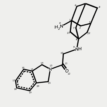 NC12CC3CC(C1)CC(NCC(=O)N1Cc4ccccc4C1)(C3)C2